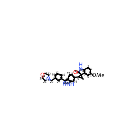 COc1ccc2c(c1)C1(CC1c1ccc3c(-c4cccc(CN5CCOCC5)c4)n[nH]c3c1)C(=O)N2